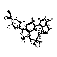 C=CC(=O)N1C[C@H](C)N(c2nc(=O)n3c4c(c(-c5ccc(F)c6cnn(C)c56)c(C)cc24)SCC2(COC2)C3)C[C@H]1C